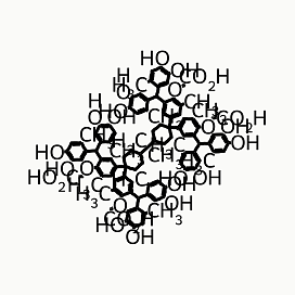 Cc1cc(O)c(O)cc1C(c1cc(O)c(O)cc1C)c1cc(C2(c3cc(C)c(OCC(=O)O)c(C(c4cc(O)c(O)cc4C)c4cc(O)c(O)cc4C)c3)CCC(C(C)(C)C3CCC(c4cc(C)c(OCC(=O)O)c(C(c5cc(O)c(O)cc5C)c5cc(O)c(O)cc5C)c4)(c4cc(C)c(OCC(=O)O)c(C(c5cc(O)c(O)cc5C)c5cc(O)c(O)cc5C)c4)CC3)CC2)cc(C)c1OCC(=O)O